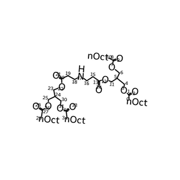 CCCCCCCCC(=O)OCC(COC(=O)CCCCCCCC)COC(=O)CCNCCC(=O)OCC(COC(=O)CCCCCCCC)COC(=O)CCCCCCCC